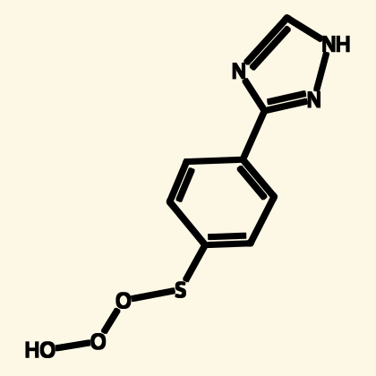 OOOSc1ccc(-c2nc[nH]n2)cc1